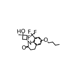 CCCCOc1cc2c(c(C(F)(F)F)c1)N([C@H]1C[C@@](C)(O)C1)C(=O)CC2